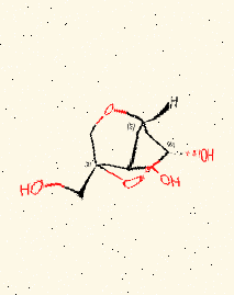 OC[C@@]12CO[C@@H](C1O)[C@H](O)O2